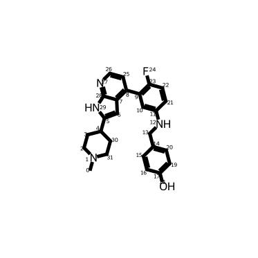 CN1CCC(c2cc3c(-c4cc(NCc5ccc(O)cc5)ccc4F)ccnc3[nH]2)CC1